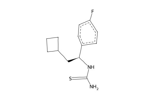 NC(=S)N[C@@H](CC1CCC1)c1ccc(F)cc1